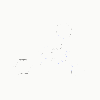 c1ccc(Cn2cnc3c(N4CCCCC4)nc(N4CCCC4)nc32)cc1